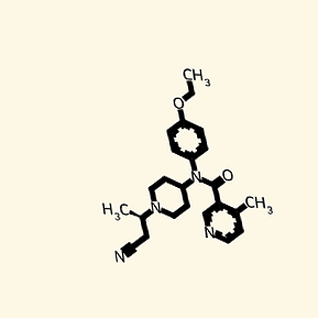 CCOc1ccc(N(C(=O)c2cnccc2C)C2CCN([C@H](C)CC#N)CC2)cc1